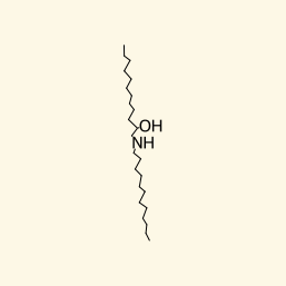 CCCCCCCCCCCCNCC(O)CCCCCCCCCC